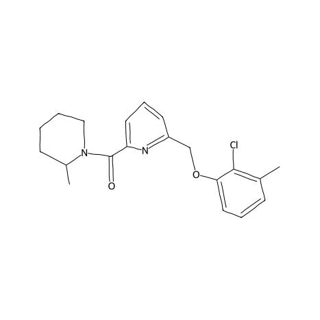 Cc1cccc(OCc2cccc(C(=O)N3CCCCC3C)n2)c1Cl